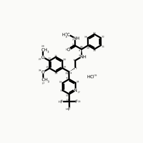 CNC(=O)[C@H](NCC[C@H](c1ccc(C(F)(F)F)nc1)c1ccc(OC)c(OC)c1)c1ccccc1.Cl